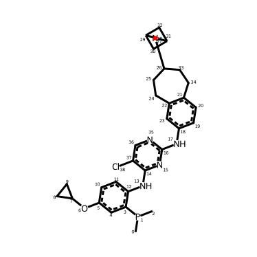 CP(C)c1cc(OC2CC2)ccc1Nc1nc(Nc2ccc3c(c2)CCC(N2CC4CC2C4)CC3)ncc1Cl